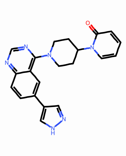 O=c1ccccn1C1CCN(c2ncnc3ccc(-c4cn[nH]c4)cc23)CC1